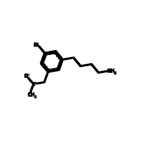 CCc1cc(CCCCN)cc(C[S+](C)[O-])c1